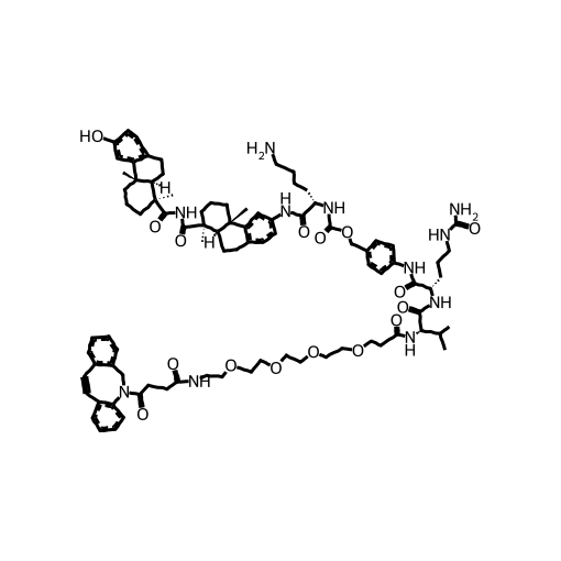 CC(C)[C@H](NC(=O)CCOCCOCCOCCOCCNC(=O)CCC(=O)N1Cc2ccccc2C#Cc2ccccc21)C(=O)N[C@@H](CCCNC(N)=O)C(=O)Nc1ccc(COC(=O)N[C@@H](CCCCN)C(=O)Nc2ccc3c(c2)[C@@]2(C)CCC[C@](C)(C(=O)NC(=O)[C@@]4(C)CCC[C@]5(C)c6cc(O)ccc6CC[C@@H]45)[C@@H]2CC3)cc1